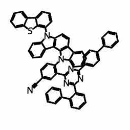 N#Cc1ccc(-n2c3ccccc3c3ccc4c(c5ccccc5n4-c4cccc5c4sc4ccccc45)c32)c(-c2nc(-c3ccc(-c4ccccc4)cc3)nc(-c3ccccc3-c3ccccc3)n2)c1